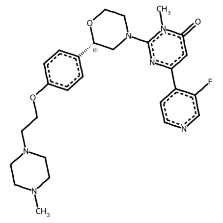 CN1CCN(CCOc2ccc([C@H]3CN(c4nc(-c5ccncc5F)cc(=O)n4C)CCO3)cc2)CC1